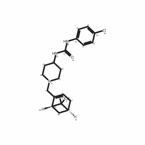 CC1(C)[C@H]2CC=C(CN3CCC(NC(=O)Nc4ccc(Cl)cc4)CC3)[C@H]1C2